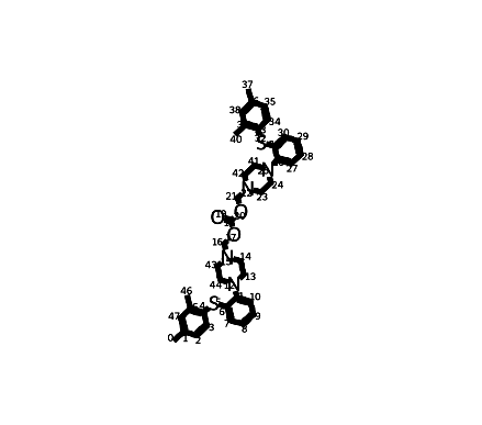 Cc1ccc(Sc2ccccc2N2CCN(COC(=O)OCN3CCN(c4ccccc4Sc4ccc(C)cc4C)CC3)CC2)c(C)c1